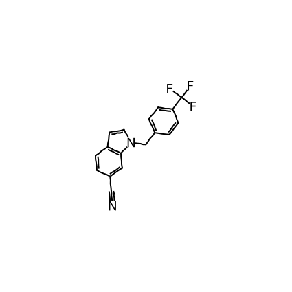 N#Cc1ccc2ccn(Cc3ccc(C(F)(F)F)cc3)c2c1